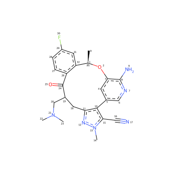 C[C@H]1Oc2cc(cnc2N)-c2c(nn(C)c2C#N)CC(CN(C)C)C(=O)c2ccc(F)cc21